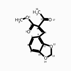 COC(=O)C(=Cc1cccc2c1OCO2)C(C)=O